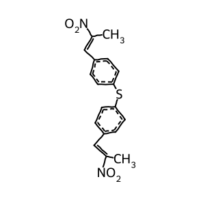 C/C(=C\c1ccc(Sc2ccc(/C=C(\C)[N+](=O)[O-])cc2)cc1)[N+](=O)[O-]